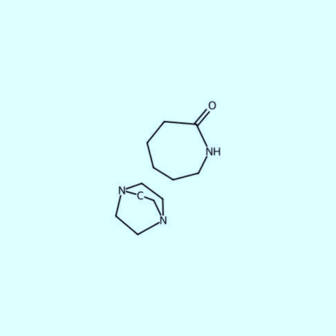 C1CN2CCN1CC2.O=C1CCCCCN1